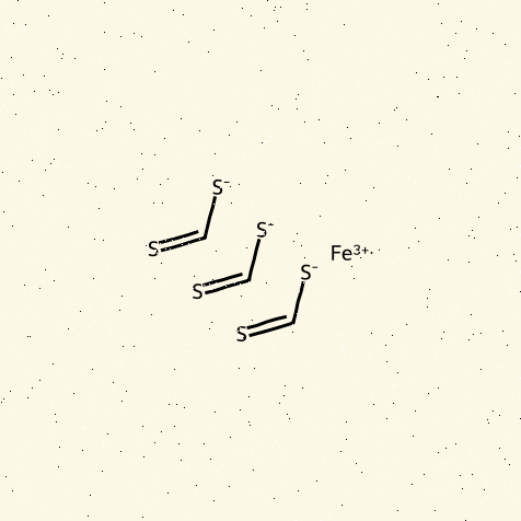 S=C[S-].S=C[S-].S=C[S-].[Fe+3]